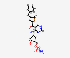 NS(=O)(=O)OCC1CC(Nc2ncncc2C(=O)c2cc(Cc3ccccc3)c(Cl)s2)CC1O